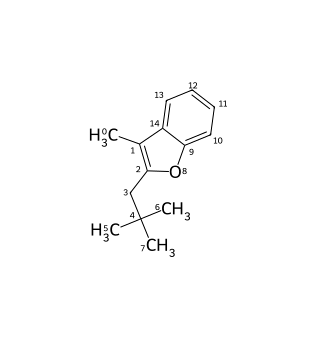 Cc1c(CC(C)(C)C)oc2ccccc12